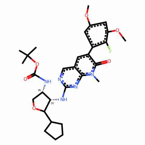 COc1cc(OC)c(F)c(-c2cc3cnc(N[C@@H]4C(C5CCCC5)OC[C@@H]4NC(=O)OC(C)(C)C)nc3n(C)c2=O)c1